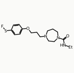 CCNC(=O)N1CCCN(CCCOc2ccc(SF)cc2)CC1